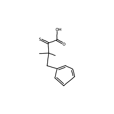 CC(C)(Cc1ccccc1)C(=S)C(=O)O